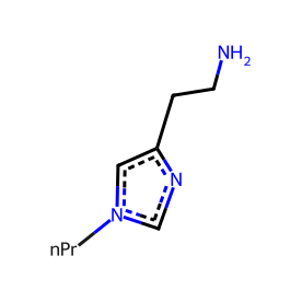 CCCn1cnc(CCN)c1